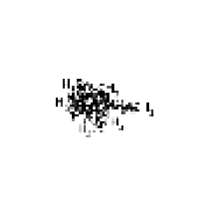 C/C=C(/C)C(=O)O[C@H]1C(C)=C2[C@H]([C@@H]1OC(=O)CCCCCCC)[C@@](C)(OC(C)=O)C[C@H](OC(C)=O)[C@@]1(O)[C@H]2OC(=O)[C@@]1(C)O